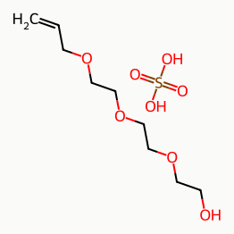 C=CCOCCOCCOCCO.O=S(=O)(O)O